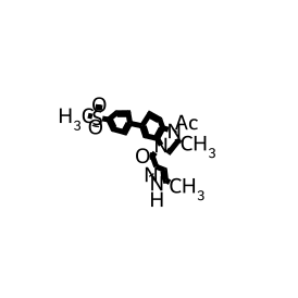 CC(=O)N1c2ccc(-c3ccc(S(C)(=O)=O)cc3)cc2N(C(=O)c2cc(C)[nH]n2)C[C@@H]1C